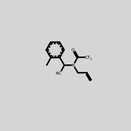 C=CCN(C(=O)C(F)(F)F)C(C#N)c1ccccc1C